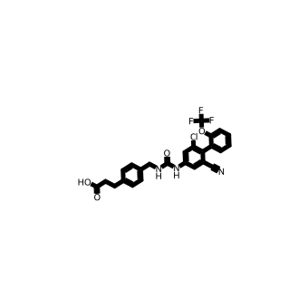 N#Cc1cc(NC(=O)NCc2ccc(CCC(=O)O)cc2)cc(Cl)c1-c1ccccc1OC(F)(F)F